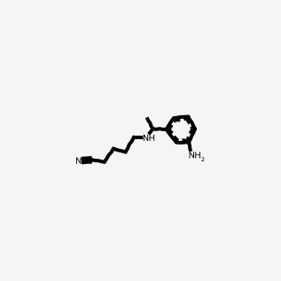 CC(NCCCCC#N)c1cccc(N)c1